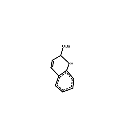 CC(C)COC1C=Cc2ccccc2N1